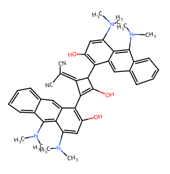 CN(C)c1cc(O)c(C2=C(O)C(c3c(O)cc(N(C)C)c4c(N(C)C)c5ccccc5cc34)C2=C(C#N)C#N)c2cc3ccccc3c(N(C)C)c12